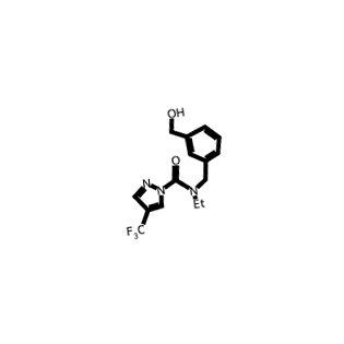 CCN(Cc1cccc(CO)c1)C(=O)n1cc(C(F)(F)F)cn1